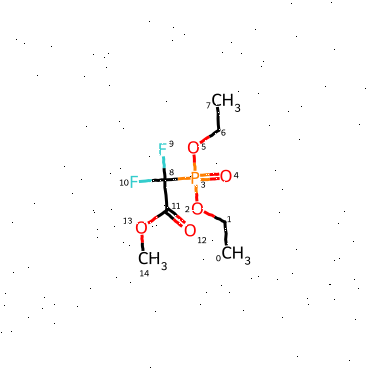 CCOP(=O)(OCC)C(F)(F)C(=O)OC